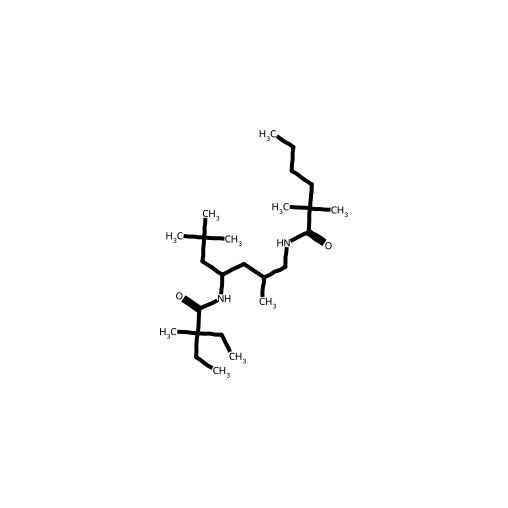 CCCCC(C)(C)C(=O)NCC(C)CC(CC(C)(C)C)NC(=O)C(C)(CC)CC